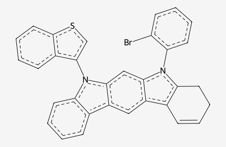 Brc1ccccc1-n1c2c(c3cc4c5ccccc5n(-c5csc6ccccc56)c4cc31)C=CCC2